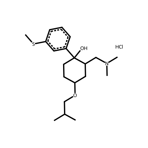 CSc1cccc(C2(O)CCC(OCC(C)C)CC2CN(C)C)c1.Cl